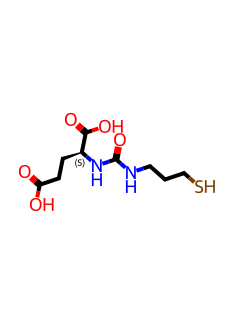 O=C(O)CC[C@H](NC(=O)NCCCS)C(=O)O